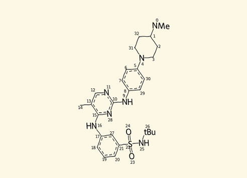 CNC1CCN(c2ccc(Nc3ncc(C)c(Nc4cccc(S(=O)(=O)NC(C)(C)C)c4)n3)cc2)CC1